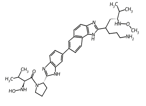 CON[C@H](CC(CCCN)c1nc2ccc3cc(-c4ccc5nc([C@@H]6CCCN6C(=O)[C@@H](NO)C(C)C)[nH]c5c4)ccc3c2[nH]1)C(C)C